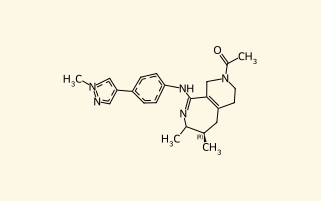 CC(=O)N1CCC2=C(C1)C(Nc1ccc(-c3cnn(C)c3)cc1)=NC(C)[C@H](C)C2